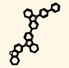 C1=Cc2c(c3c(n2-c2ccc(-c4ccccc4)cc2)=CCC(c2ccc4c(c2)c2c(n4-c4ccc5oc6c(c5c4)CCCC6)CCCC2)C=3)CC1